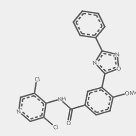 COc1ccc(C(=O)Nc2c(Cl)cncc2Cl)cc1-c1nc(-c2ccccc2)no1